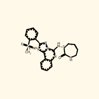 C[S@@](=N)(=O)c1ccccc1-c1nc2c3ccccc3nc(N[C@@H]3CCCCNC3=O)n2n1